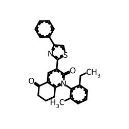 CCc1cccc(C)c1-n1c2c(cc(-c3nc(-c4ccccc4)cs3)c1=O)C(=O)CCC2